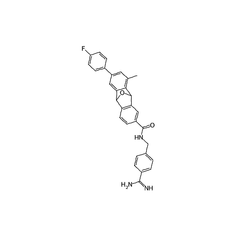 Cc1cc(-c2ccc(F)cc2)cc2c1C1OC2c2ccc(C(=O)NCc3ccc(C(=N)N)cc3)cc21